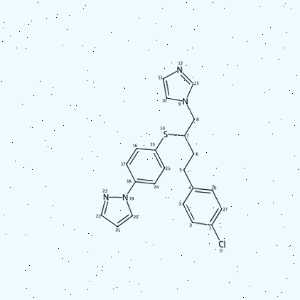 Clc1ccc(CCC(Cn2ccnc2)Sc2ccc(-n3cccn3)cc2)cc1